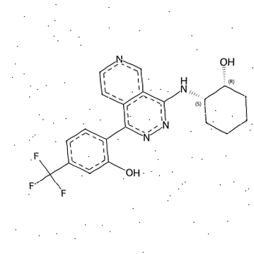 Oc1cc(C(F)(F)F)ccc1-c1nnc(N[C@H]2CCCC[C@H]2O)c2cnccc12